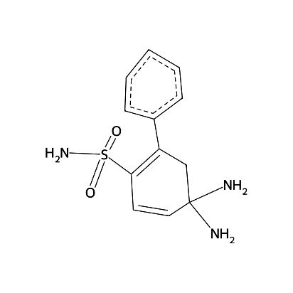 NC1(N)C=CC(S(N)(=O)=O)=C(c2ccccc2)C1